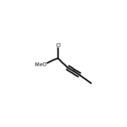 CC#CC(Cl)OC